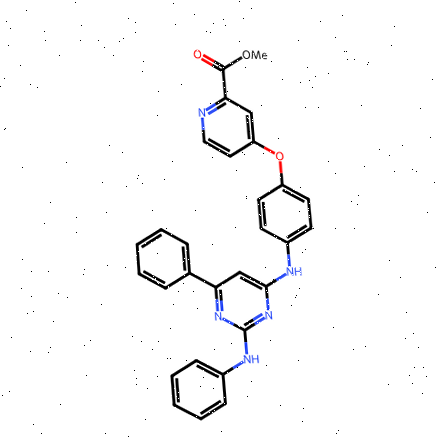 COC(=O)c1cc(Oc2ccc(Nc3cc(-c4ccccc4)nc(Nc4ccccc4)n3)cc2)ccn1